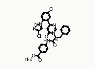 CC(C)(C)OC(=O)c1ccc(NC(=O)[C@H](Cc2ccccc2)n2cnc(-c3cc(Cl)ccc3-n3cc(Cl)nn3)cc2=O)cc1